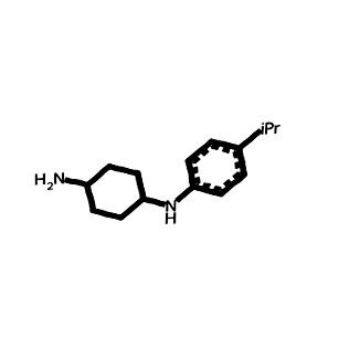 CC(C)c1ccc(NC2CCC(N)CC2)cc1